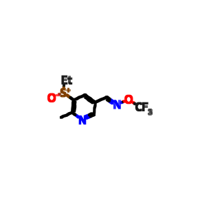 CC[S+]([O-])c1cc(/C=N/OC(F)(F)F)cnc1C